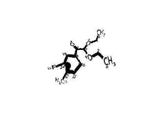 CCOC(OCC)C(=O)c1ccc(C)c(F)c1